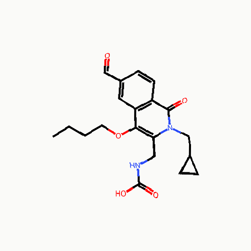 CCCCOc1c(CNC(=O)O)n(CC2CC2)c(=O)c2ccc(C=O)cc12